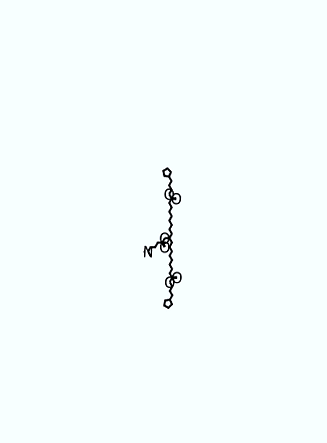 CN(C)CCCC(=O)OC(CCCCCCCCC(=O)OCCCC1CCCC1)CCCCCCCCC(=O)OCCCC1CCCC1